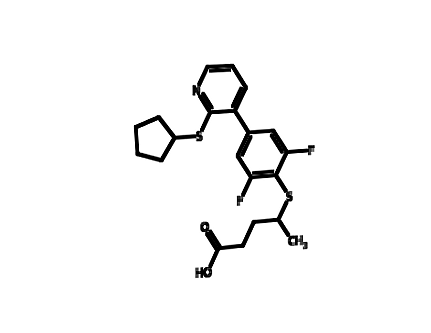 CC(CCC(=O)O)Sc1c(F)cc(-c2cccnc2SC2CCCC2)cc1F